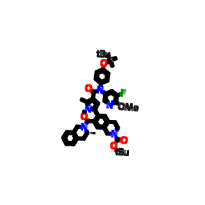 COc1ncc(N(C(=O)c2cc(-c3cc4c(cc3C(=O)N3Cc5ccccc5C[C@H]3C)CN(C(=O)OC(C)(C)C)CC4)n(C)c2C)c2ccc(O[Si](C)(C)C(C)(C)C)cc2)cc1F